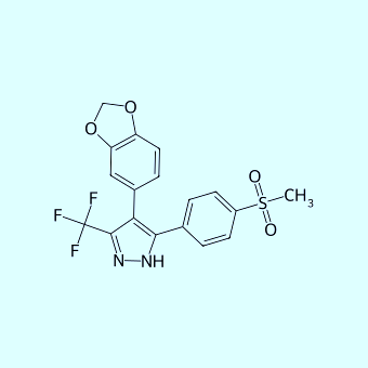 CS(=O)(=O)c1ccc(-c2[nH]nc(C(F)(F)F)c2-c2ccc3c(c2)OCO3)cc1